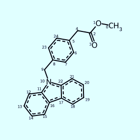 COC(=O)Cc1ccc(Cn2c3ccccc3c3ccccc32)cc1